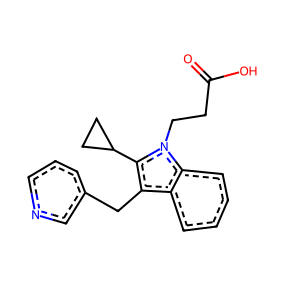 O=C(O)CCn1c(C2CC2)c(Cc2cccnc2)c2ccccc21